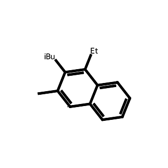 CCc1c(C(C)CC)c(C)[c]c2ccccc12